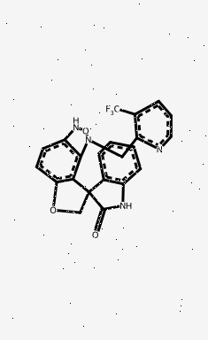 O=C1Nc2ccccc2C12COc1ccc3c(c12)N(Cc1ncccc1C(F)(F)F)ON3